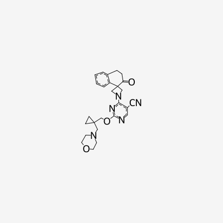 N#Cc1cnc(OCC2(CN3CCOCC3)CC2)nc1N1CC2(C1)C(=O)CCc1ccccc12